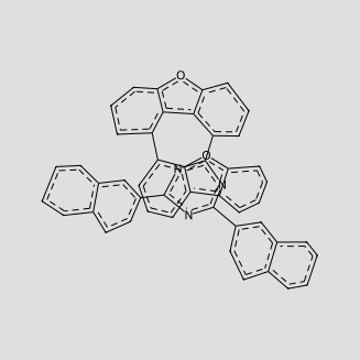 c1ccc2cc(-c3nc(-c4ccc5ccccc5c4)nc(-c4cccc5oc6cccc(-c7cccc8c7oc7ccccc78)c6c45)n3)ccc2c1